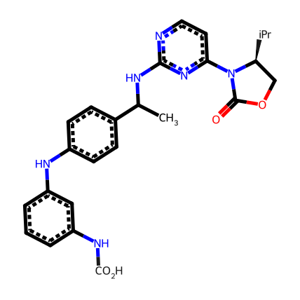 CC(Nc1nccc(N2C(=O)OC[C@@H]2C(C)C)n1)c1ccc(Nc2cccc(NC(=O)O)c2)cc1